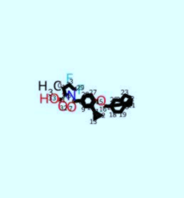 C[C@H]1[C@H](F)CN(C(=O)c2cc(C3CC3)c(OCC34CCC5CC(CC5C3)C4)cc2F)[C@@H]1C(=O)O